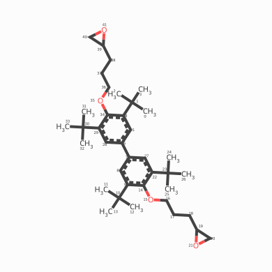 CC(C)(C)c1cc(-c2cc(C(C)(C)C)c(OCCCC3CO3)c(C(C)(C)C)c2)cc(C(C)(C)C)c1OCCCC1CO1